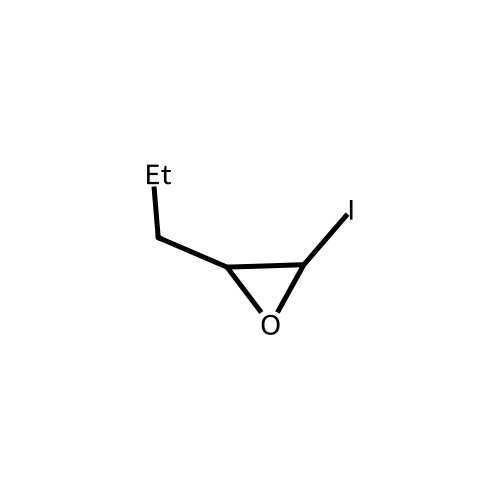 CCCC1OC1I